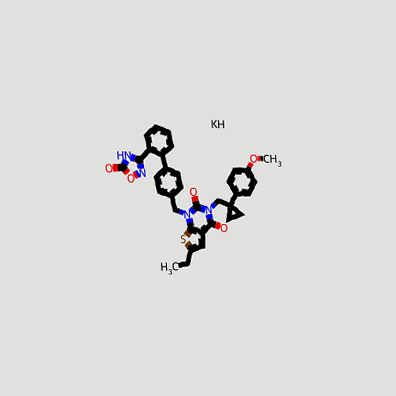 CCc1cc2c(=O)n(CC3(c4ccc(OC)cc4)CC3)c(=O)n(Cc3ccc(-c4ccccc4-c4noc(=O)[nH]4)cc3)c2s1.[KH]